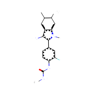 CCn1c(-c2ccc(NC(=O)NC(C)C)c(F)c2)c(N)c2c1=CC(OC)C(C)C=2